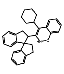 c1ccc2c(c1)CCC21c2ccccc2CC1C1=C(C2CCCCC2)c2ccccc2ON1